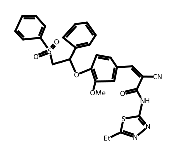 CCc1nnc(NC(=O)C(C#N)=Cc2ccc(OC(CS(=O)(=O)c3ccccc3)c3ccccc3)c(OC)c2)s1